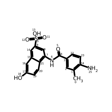 Cc1cc(C(=O)Nc2cc(S(=O)(=O)O)cc3cc(O)ccc23)ccc1N